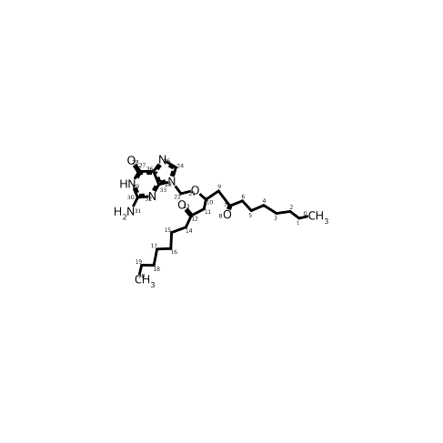 CCCCCCCC(=O)CC(CC(=O)CCCCCCC)OCn1cnc2c(=O)[nH]c(N)nc21